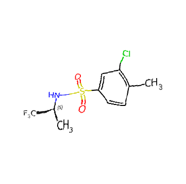 Cc1ccc(S(=O)(=O)N[C@@H](C)C(F)(F)F)cc1Cl